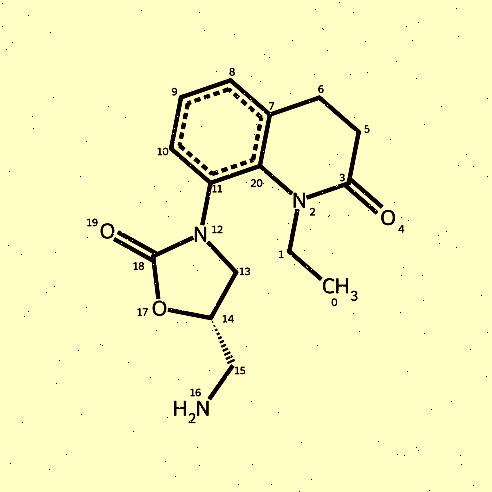 CCN1C(=O)CCc2cccc(N3C[C@H](CN)OC3=O)c21